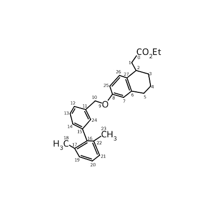 CCOC(=O)CC1CCCc2cc(OCc3cccc(-c4c(C)cccc4C)c3)ccc21